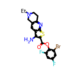 CCN1CCc2nc3sc(C(=O)Oc4c(F)cc(F)cc4Br)c(N)c3cc2C1